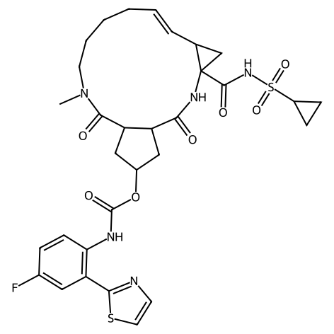 CN1CCCC/C=C/C2CC2(C(=O)NS(=O)(=O)C2CC2)NC(=O)C2CC(OC(=O)Nc3ccc(F)cc3-c3nccs3)CC2C1=O